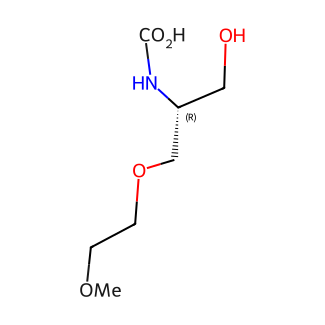 COCCOC[C@@H](CO)NC(=O)O